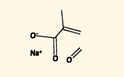 C=C(C)C(=O)[O-].C=O.[Na+]